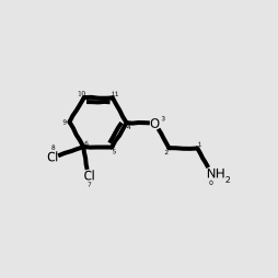 NCCOC1=CC(Cl)(Cl)CC=C1